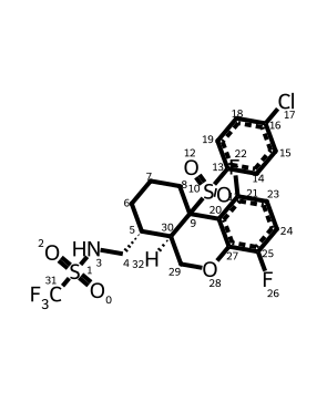 O=S(=O)(NC[C@@H]1CCCC2(S(=O)(=O)c3ccc(Cl)cc3)c3c(F)ccc(F)c3OC[C@@H]12)C(F)(F)F